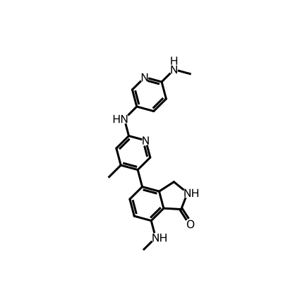 CNc1ccc(Nc2cc(C)c(-c3ccc(NC)c4c3CNC4=O)cn2)cn1